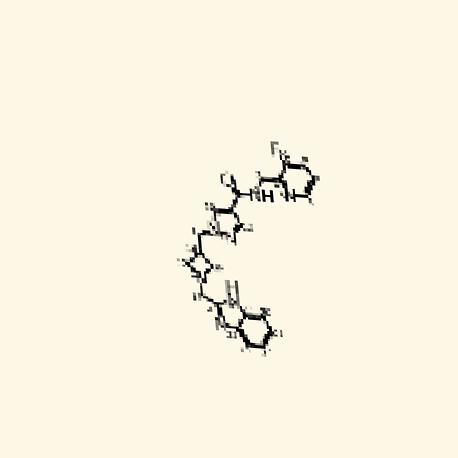 O=C(NCc1ncccc1F)c1cnn(CC2CN(Cc3nc4ccccc4[nH]3)C2)c1